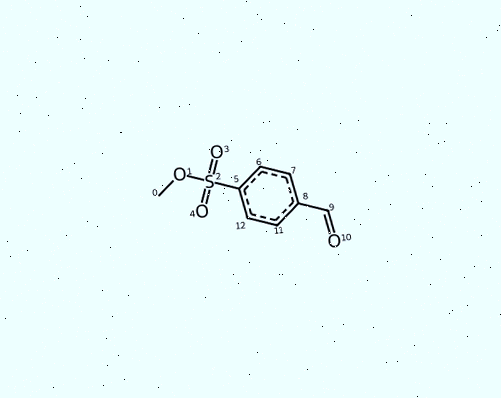 COS(=O)(=O)c1ccc(C=O)cc1